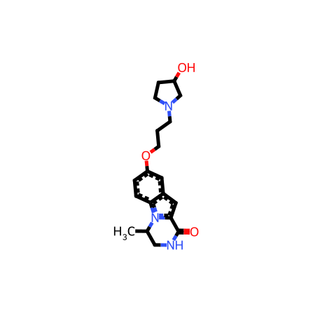 CC1CNC(=O)c2cc3cc(OCCCN4CCC(O)C4)ccc3n21